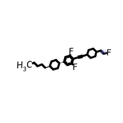 CCCCC[C@H]1CC[C@H](c2cc(F)c(C#CC3CCC(/C=C/F)CC3)c(F)c2)CC1